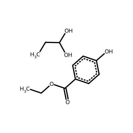 CCC(O)O.CCOC(=O)c1ccc(O)cc1